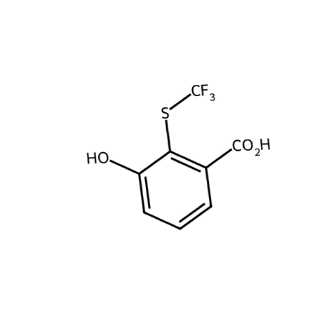 O=C(O)c1cccc(O)c1SC(F)(F)F